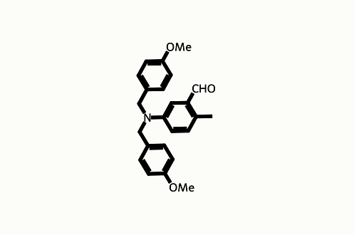 COc1ccc(CN(Cc2ccc(OC)cc2)c2ccc(C)c(C=O)c2)cc1